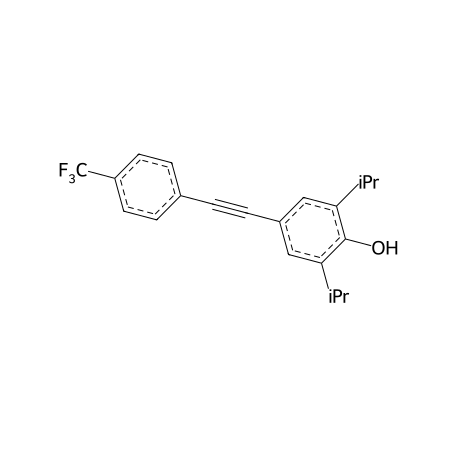 CC(C)c1cc(C#Cc2ccc(C(F)(F)F)cc2)cc(C(C)C)c1O